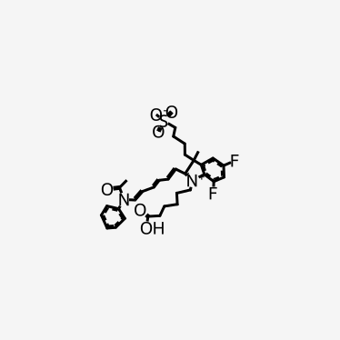 CC(=O)N(/C=C/C=C/C=C/C1=[N+](CCCCCC(=O)O)c2c(F)cc(F)cc2C1(C)CCCCS(=O)(=O)[O-])c1ccccc1